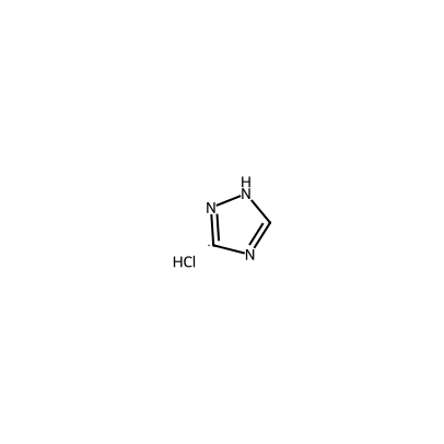 Cl.[c]1nc[nH]n1